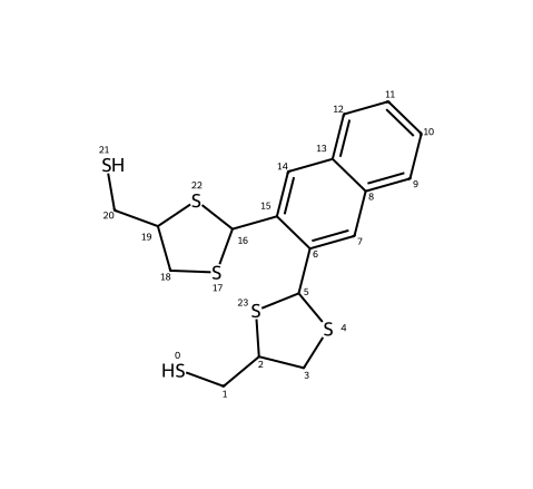 SCC1CSC(c2cc3ccccc3cc2C2SCC(CS)S2)S1